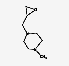 CN1CCN(CC2CO2)CC1